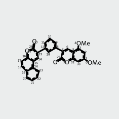 COc1cc(OC)c2cc(-c3cccc(-c4cc5c(ccc6ccccc65)oc4=O)c3)c(=O)oc2c1